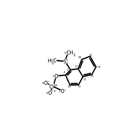 C[S+](C)c1c(O[Cl+3]([O-])([O-])[O-])ccc2ccccc12